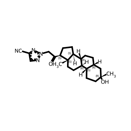 C[C@@]1(O)CC[C@H]2[C@H](CC[C@@H]3[C@@H]2CC[C@]2(C)[C@@H](C(=O)Cn4ncc(C#N)n4)CC[C@@H]32)C1